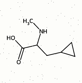 CNC(CC1CC1)C(=O)O